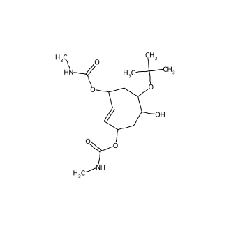 CNC(=O)OC1/C=C/C(OC(=O)NC)CC(OC(C)(C)C)C(O)C1